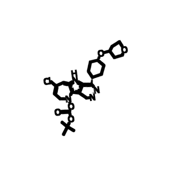 CC(C)(C)OC(=O)ON1CC=C(Cl)C=c2[nH]c3c(c21)CN=NC=3[C@H]1CC[C@H](OC2CCOCC2)CC1